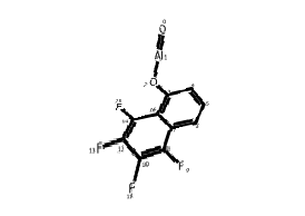 [O]=[Al][O]c1cccc2c(F)c(F)c(F)c(F)c12